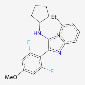 CCc1cccc2nc(-c3c(F)cc(OC)cc3F)c(NC3CCCC3)n12